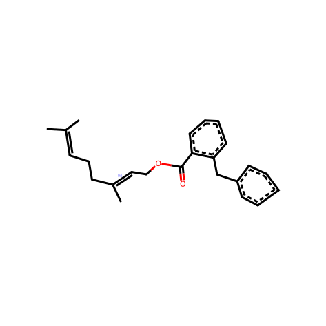 CC(C)=CCC/C(C)=C/COC(=O)c1ccccc1Cc1ccccc1